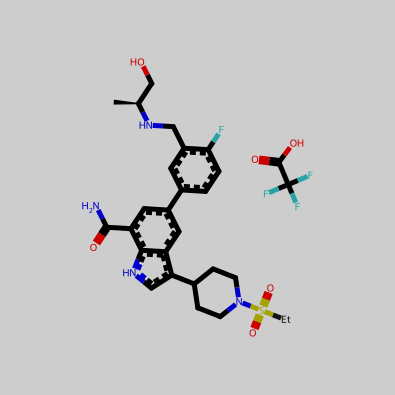 CCS(=O)(=O)N1CCC(c2c[nH]c3c(C(N)=O)cc(-c4ccc(F)c(CN[C@@H](C)CO)c4)cc23)CC1.O=C(O)C(F)(F)F